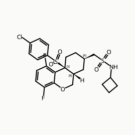 O=S(=O)(C[C@@H]1CC[C@@]2(S(=O)(=O)c3ccc(Cl)cc3)c3c(F)ccc(F)c3OC[C@H]2C1)NC1CCC1